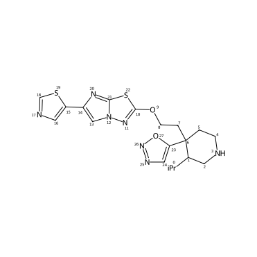 CC(C)C1CNCCC1(CCOc1nn2cc(-c3cncs3)nc2s1)c1cnno1